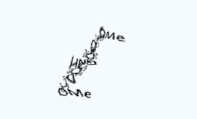 COCCCOc1ccc(NC(=O)c2ccc(OCCCOC)cc2)cc1